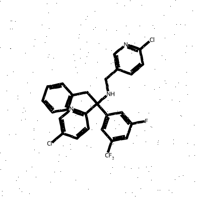 Fc1cc(C(F)(F)F)cc(C(Cc2ccccc2)(NCc2ccc(Cl)nc2)c2ccc(Cl)cn2)c1